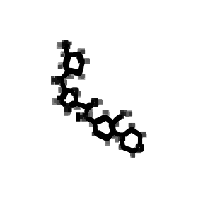 O=C(Nc1ccc(N2CCOCC2)c(F)c1)c1nnc(Nc2cccc(Br)c2)o1